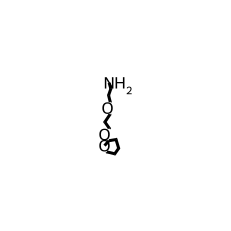 NCCCOCCCOC1CCCCO1